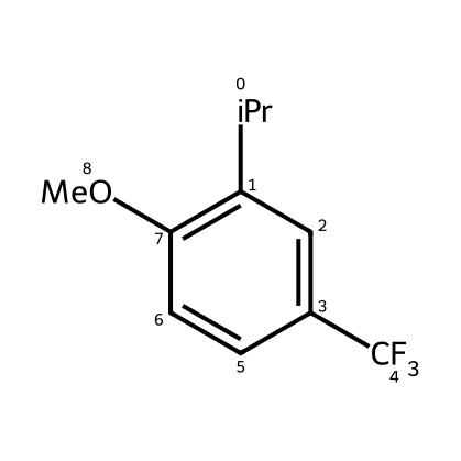 [CH2]C(C)c1cc(C(F)(F)F)ccc1OC